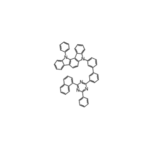 c1ccc(-c2nc(-c3cccc(-c4cccc(-n5c6ccccc6c6c5ccc5c7ccccc7n(-c7ccccc7)c56)c4)c3)nc(-c3cccc4ccccc34)n2)cc1